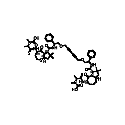 CC(C(=S)N[C@H]1CCS[C@H]2CC(C)(C)[C@@H](C(=O)NC(COCC#CC#CCOCC(NC(=O)[C@H]3N4C(=O)[C@@H](NC(=S)C(C)N(C)C(=O)O)CCS[C@H]4CC3(C)C)c3ccccc3)c3ccccc3)N2C1=O)N(C)C(=O)O